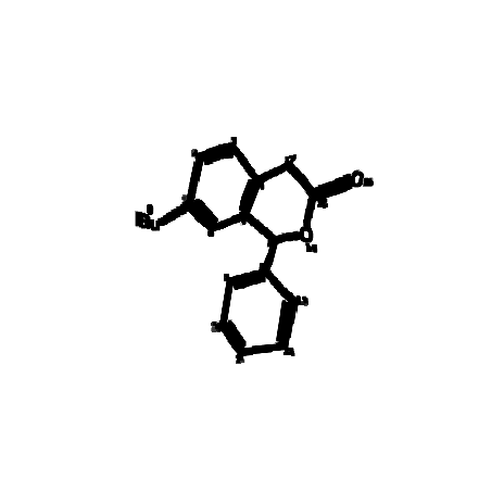 CCC(C)c1ccc2c(c1)C(c1ccccc1)OC(=O)C2